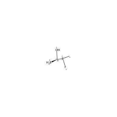 B[C@@H](O)B(C)F